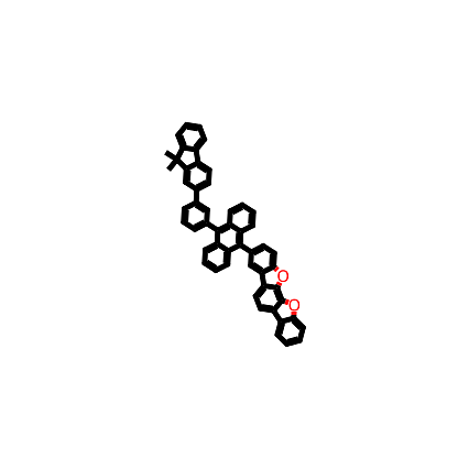 CC1(C)c2ccccc2-c2ccc(-c3cccc(-c4c5ccccc5c(-c5ccc6oc7c(ccc8c9ccccc9oc87)c6c5)c5ccccc45)c3)cc21